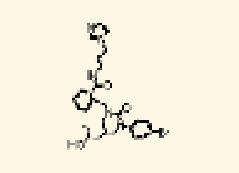 O=C(O)CC1CN(Cc2ccccc2C(=O)NCCCn2ccnc2)C(=O)N(c2ccc(Br)cc2)C1